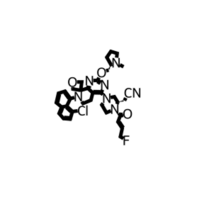 CN1CCC[C@H]1COc1nc(N2CCN(C(=O)/C=C/CF)[C@@H](CC#N)C2)c2c(n1)C1(COC1)N(c1cccc3cccc(Cl)c13)CC2